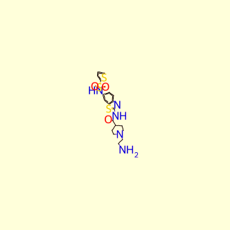 NCCN1CCC(C(=O)Nc2nc3ccc(NS(=O)(=O)c4cccs4)cc3s2)CC1